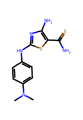 CN(C)c1ccc(Nc2nc(N)c(C(N)=S)s2)cc1